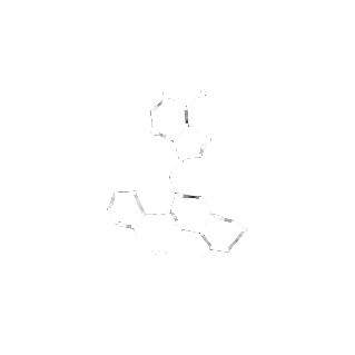 COc1ccccc1-c1nc2c(C)cccc2cc1Cn1cnc2c(N)ncnc21